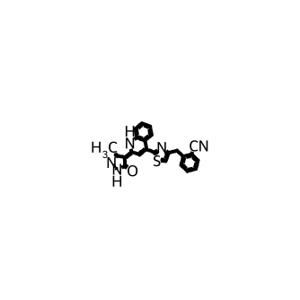 CC1=NNC(=O)C1=C1C=C(c2nc(Cc3ccccc3C#N)cs2)c2ccccc2N1